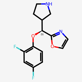 Fc1ccc(O[C@H](c2ncco2)C2CCNC2)c(F)c1